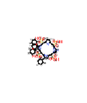 O=S(=O)(O)c1c2nc(c(S(=O)(=O)O)c3c(-c4ccccc4)c(-c4ccccc4)c(c(S(=O)(=O)O)c4nc(c(S(=O)(=O)O)c5ccc1[nH]5)C=C4c1ccccc1)n3-c1ccccc1)C=C2